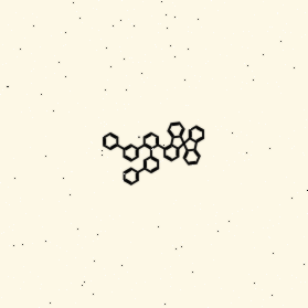 [c]1ccc(-c2cccc3c2-c2ccccc2C32c3ccccc3-c3ccccc32)c(-c2cccc(-c3ccccc3)c2)c1-c1cccc(-c2ccccc2)c1